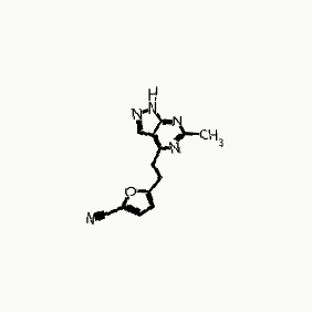 Cc1nc(CCc2ccc(C#N)o2)c2cn[nH]c2n1